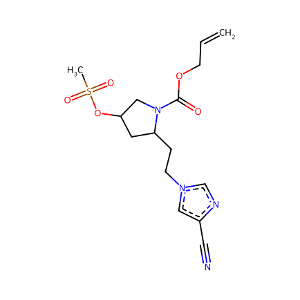 C=CCOC(=O)N1CC(OS(C)(=O)=O)CC1CCn1cnc(C#N)c1